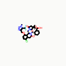 Cn1nnc(COc2ccc(Cl)c3c2[C@@H](CN2CC4(CC4)CC2=O)N(C(=O)[C@@H]2[C@@H](O)CCC[C@]2(C)C(=O)O)CC3)c1C(F)F